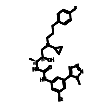 CCc1cc(NC(=O)N[C@H](C)[C@H](O)CN(CCCc2ccc(F)cc2)C2CC2)cc(-c2nnnn2C)c1